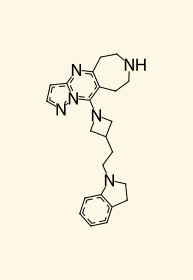 c1ccc2c(c1)CCN2CCC1CN(c2c3c(nc4ccnn24)CCNCC3)C1